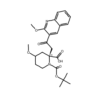 COc1nc2ccccc2cc1C(=O)C[C@]1(C(=O)O)CC(OC)CCN1C(=O)OC(C)(C)C